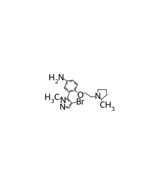 CC1CCCN1CCOc1ccc(N)cc1-c1c(Br)cnn1C